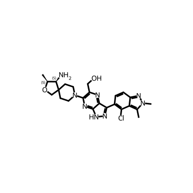 Cc1c2c(Cl)c(-c3n[nH]c4nc(N5CCC6(CC5)CO[C@@H](C)[C@H]6N)c(CO)nc34)ccc2nn1C